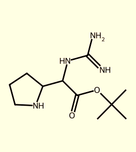 CC(C)(C)OC(=O)C(NC(=N)N)C1CCCN1